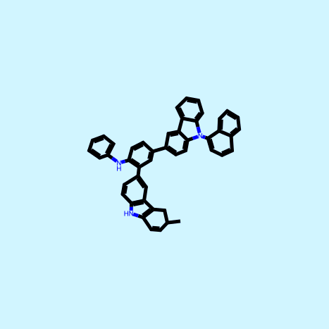 CC1C=Cc2[nH]c3ccc(-c4cc(-c5ccc6c(c5)c5ccccc5n6-c5cccc6ccccc56)ccc4Nc4ccccc4)cc3c2C1